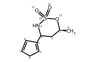 C[C@H]1CC(C2=CCC=C2)NS(=O)(=O)O1